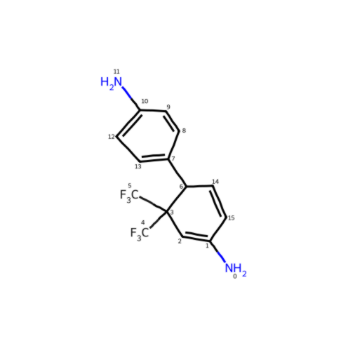 NC1=CC(C(F)(F)F)(C(F)(F)F)C(c2ccc(N)cc2)C=C1